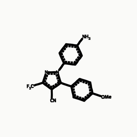 COc1ccc(-c2c(C#N)c(C(F)(F)F)nn2-c2ccc(N)cc2)cc1